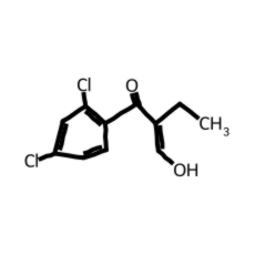 CCC(=CO)C(=O)c1ccc(Cl)cc1Cl